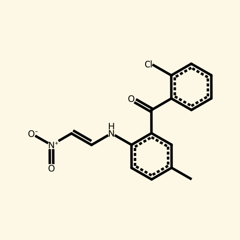 Cc1ccc(NC=C[N+](=O)[O-])c(C(=O)c2ccccc2Cl)c1